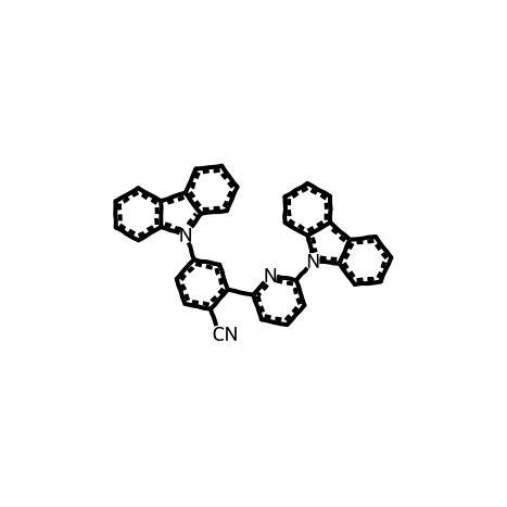 N#Cc1ccc(-n2c3ccccc3c3ccccc32)cc1-c1cccc(-n2c3ccccc3c3ccccc32)n1